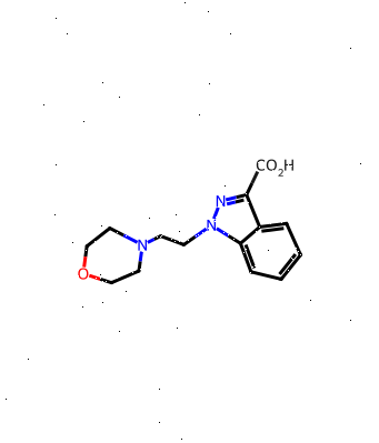 O=C(O)c1nn(CCN2CCOCC2)c2ccccc12